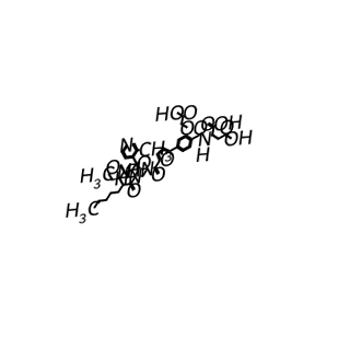 CCCCCC(C(=O)NCNC(=O)c1ccc(-c2ccc(C(=O)NC(CC(=O)O)C(=O)O)c(OCC(=O)O)c2)o1)[C@@H](CC)N(C=O)OC(=O)c1ccncc1C